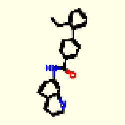 CCc1ccccc1-c1ccc(C(=O)Nc2ccc3cccnc3c2)cc1